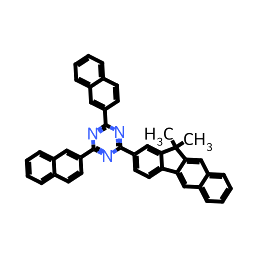 CC1(C)c2cc(-c3nc(-c4ccc5ccccc5c4)nc(-c4ccc5ccccc5c4)n3)ccc2-c2cc3ccccc3cc21